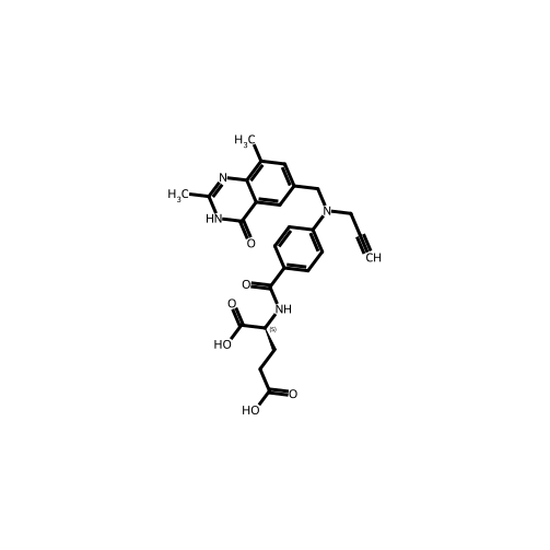 C#CCN(Cc1cc(C)c2nc(C)[nH]c(=O)c2c1)c1ccc(C(=O)N[C@@H](CCC(=O)O)C(=O)O)cc1